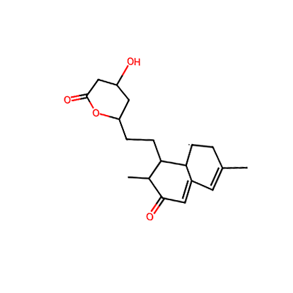 CC1=CC2=CC(=O)C(C)C(CCC3CC(O)CC(=O)O3)C2[CH]C1